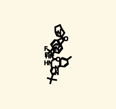 Cc1ccc(-n2nc(C(C)(C)C)cc2NC(=O)Nc2ccc(CC3CC4CCC(C3)N4C(=O)c3ccc(C(F)(F)F)nc3)cc2)cc1